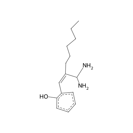 CCCCCCC(=Cc1ccccc1O)C(N)N